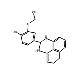 CCOc1cc(C2NC3=CCCc4cccc(c43)N2)ccc1O